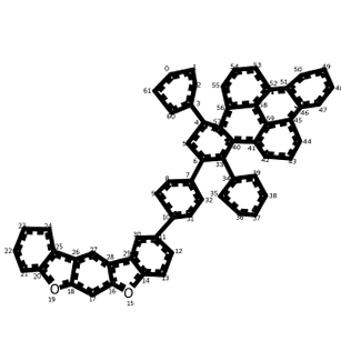 c1ccc(-c2cc(-c3ccc(-c4ccc5oc6cc7oc8ccccc8c7cc6c5c4)cc3)c(-c3ccccc3)c3c4cccc5c6ccccc6c6cccc(c23)c6c54)cc1